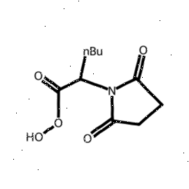 CCCCC(C(=O)OO)N1C(=O)CCC1=O